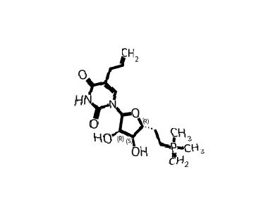 C=CCc1cn(C2O[C@H](CCP(=C)(C)C)[C@@H](O)[C@H]2O)c(=O)[nH]c1=O